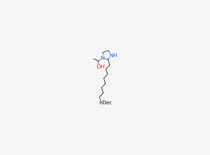 CCCCCCCCCCCCCCCCCCC1NCCN1C(C)O